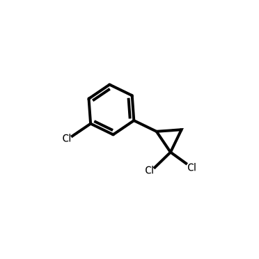 Clc1cccc(C2CC2(Cl)Cl)c1